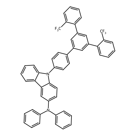 FC(F)(F)c1ccccc1-c1cc(-c2ccc(-n3c4ccccc4c4cc(N(c5ccccc5)c5ccccc5)ccc43)cc2)cc(-c2ccccc2C(F)(F)F)c1